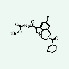 CC(C)(C)OC(=O)NCC(=O)c1cn2c3c(cc(F)cc13)CN(C(=O)N1CCCCC1)CC2